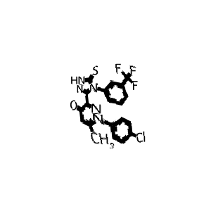 Cc1cc(=O)c(-c2n[nH]c(=S)n2-c2cccc(C(F)(F)F)c2)nn1-c1ccc(Cl)cc1